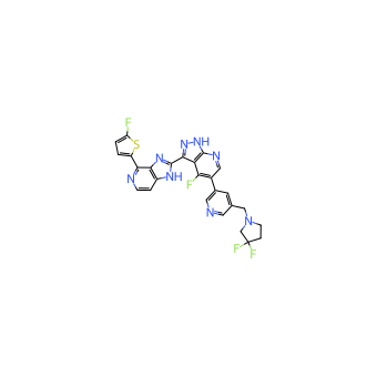 Fc1ccc(-c2nccc3[nH]c(-c4n[nH]c5ncc(-c6cncc(CN7CCC(F)(F)C7)c6)c(F)c45)nc23)s1